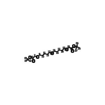 CC(C)(C)OC(=O)COCCCCCOCCCCCOCC(=O)OC(C)(C)C